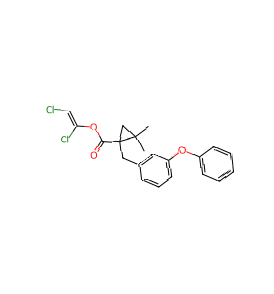 CC1(C)CC1(Cc1cccc(Oc2ccccc2)c1)C(=O)OC(Cl)=CCl